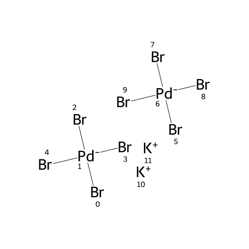 [Br][Pd-]([Br])([Br])[Br].[Br][Pd-]([Br])([Br])[Br].[K+].[K+]